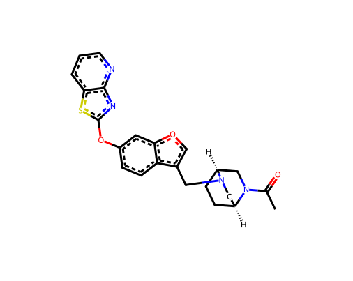 CC(=O)N1C[C@@H]2CC[C@H]1CN2Cc1coc2cc(Oc3nc4ncccc4s3)ccc12